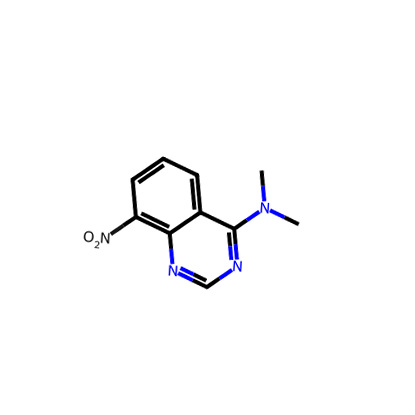 CN(C)c1ncnc2c([N+](=O)[O-])cccc12